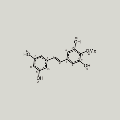 COc1c(O)cc(/C=C/c2cc(O)cc(O)c2)cc1O